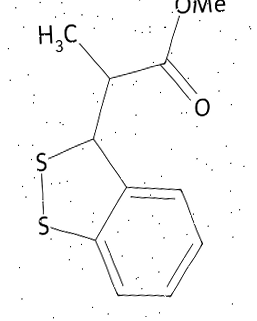 COC(=O)C(C)C1SSc2ccccc21